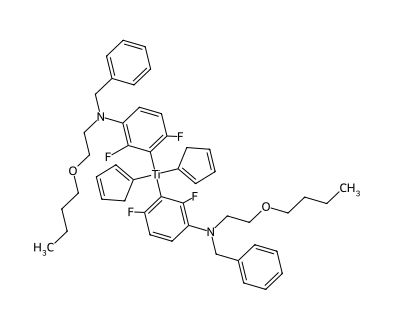 CCCCOCCN(Cc1ccccc1)c1ccc(F)[c]([Ti]([C]2=CC=CC2)([C]2=CC=CC2)[c]2c(F)ccc(N(CCOCCCC)Cc3ccccc3)c2F)c1F